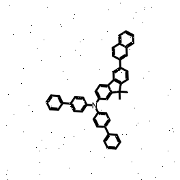 CC1(C)c2ccc(-c3ccc4ccccc4c3)cc2-c2ccc(N(c3ccc(-c4ccccc4)cc3)c3ccc(-c4ccccc4)cc3)cc21